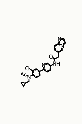 CC(=O)N(CC1CC1)c1ccc(-c2ccc(NC(=O)Cc3ccc4nccn4c3)cn2)cc1Cl